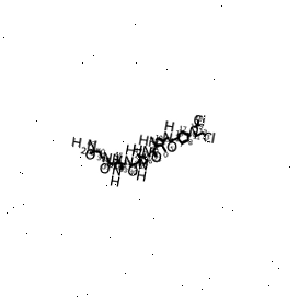 Cc1c(NC(=O)c2ccc(N(CCCl)CCCl)cc2)c[nH]c1C(=O)Nc1c[nH]c(C(=O)Nc2c[nH]c(C(=O)NCCC(N)=O)c2C)c1C